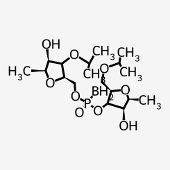 BP(=O)(OC[C@H]1O[C@@H](C)[C@@H](O)C1OC(C)C)OC1[C@@H](COC(C)C)O[C@@H](C)[C@H]1O